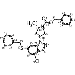 C[C@H]1C[C@@H](n2ncc3c(Cl)cc(SCc4ccccc4)cc32)CN1C(=O)OCc1ccccc1